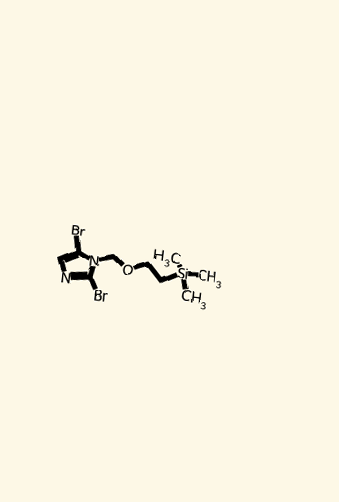 C[Si](C)(C)CCOCn1c(Br)cnc1Br